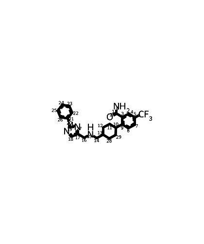 NC(=O)c1cc(C(F)(F)F)ccc1C1CCC(CNCc2cnn(-c3ccccc3)n2)CC1